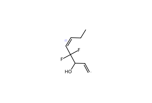 [CH]=CC(O)C(F)(F)/C=C\CC